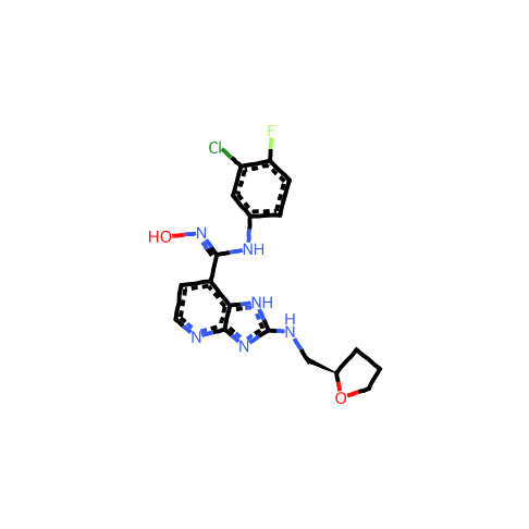 O/N=C(/Nc1ccc(F)c(Cl)c1)c1ccnc2nc(NC[C@H]3CCCO3)[nH]c12